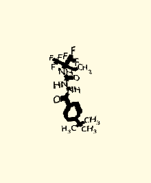 CCC(NC(=O)NNC(=O)c1ccc(C(C)(C)C)cc1)(C(F)(F)F)C(F)(F)F